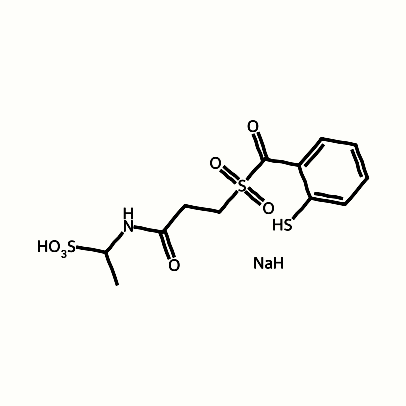 CC(NC(=O)CCS(=O)(=O)C(=O)c1ccccc1S)S(=O)(=O)O.[NaH]